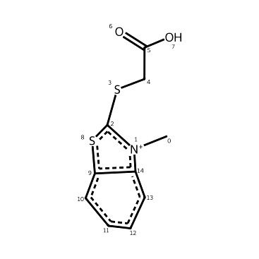 C[n+]1c(SCC(=O)O)sc2ccccc21